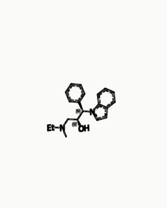 CCN(C)C[C@H](O)[C@@H](c1ccccc1)n1ccc2ccccc21